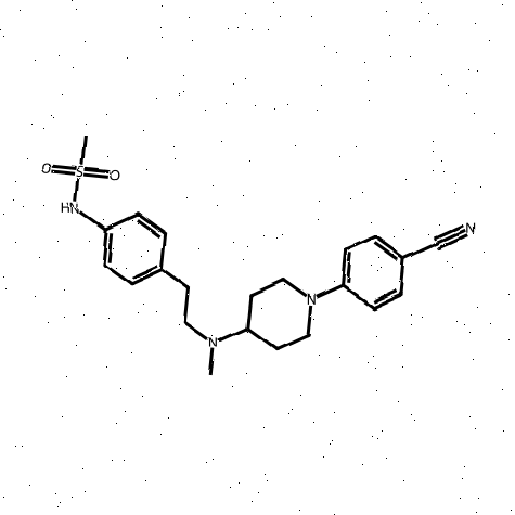 CN(CCc1ccc(NS(C)(=O)=O)cc1)C1CCN(c2ccc(C#N)cc2)CC1